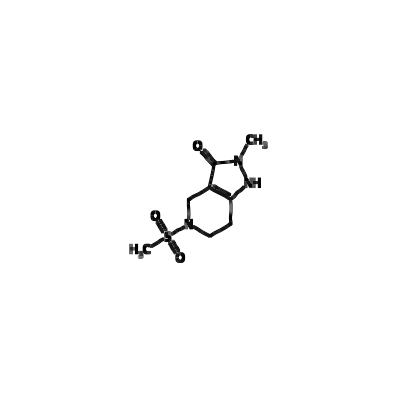 Cn1[nH]c2c(c1=O)CN(S(C)(=O)=O)CC2